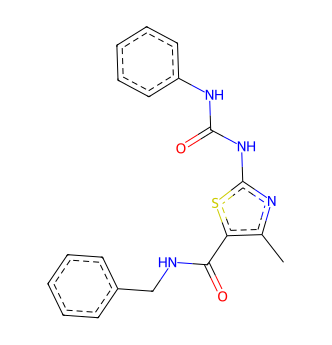 Cc1nc(NC(=O)Nc2ccccc2)sc1C(=O)NCc1ccccc1